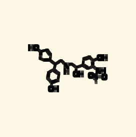 CS(=O)(=O)Nc1cc([C@@H](O)CNCC(c2ccc(O)cc2)c2ccc(O)cc2)ccc1O